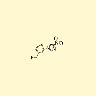 O=[N+]([O-])c1cn(-c2cccc(CF)c2)cn1